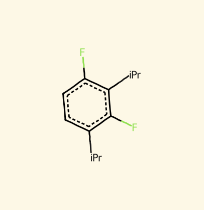 CC(C)c1ccc(F)c(C(C)C)c1F